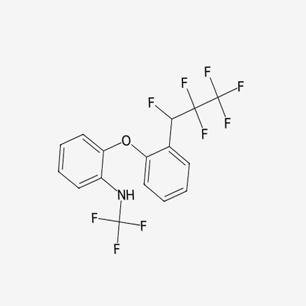 FC(c1ccccc1Oc1ccccc1NC(F)(F)F)C(F)(F)C(F)(F)F